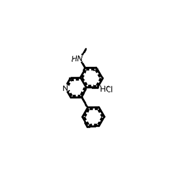 CNc1cccc2c(-c3ccccc3)cncc12.Cl